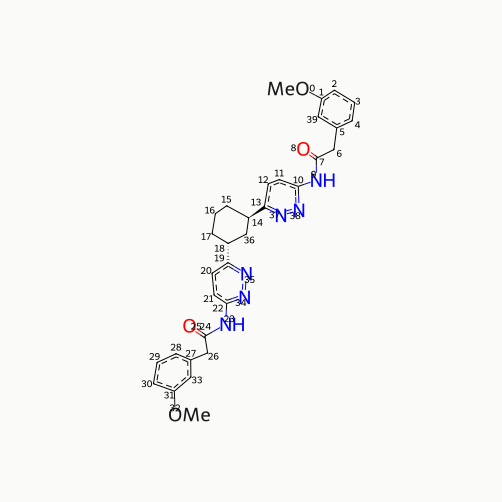 COc1cccc(CC(=O)Nc2ccc([C@@H]3CCC[C@@H](c4ccc(NC(=O)Cc5cccc(OC)c5)nn4)C3)nn2)c1